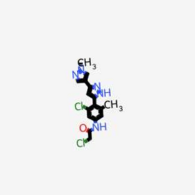 Cc1cc(NC(=O)CCl)cc(Cl)c1-c1cc(-c2cnn(C)c2)n[nH]1